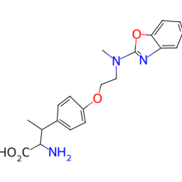 CC(c1ccc(OCCN(C)c2nc3ccccc3o2)cc1)C(N)C(=O)O